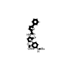 COC(=O)[C@@H]1C[C@H](NC(C)(C)C)CC[C@@H]1N1CC[C@H](NC(=O)c2ccc(-c3ccccc3)o2)C1=O